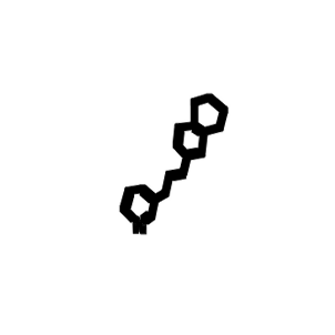 C(=C\c1ccc2c(c1)CCCC2)/Cc1cccnc1